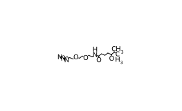 CC(C)C(=O)CCCC(=O)NCCOCCOCCN=[N+]=[N-]